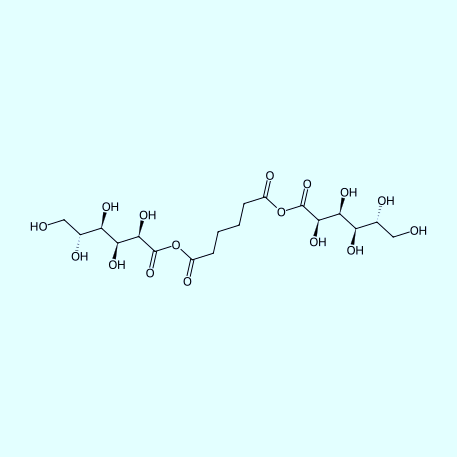 O=C(CCCCC(=O)OC(=O)[C@H](O)[C@@H](O)[C@H](O)[C@H](O)CO)OC(=O)[C@H](O)[C@@H](O)[C@H](O)[C@H](O)CO